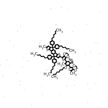 CCCCCCCCOc1c(C)c(-c2sc(-c3cc4c(s3)-c3cc5c(cc3C4(c3ccc(CCCCCC)cc3)c3ccc(CCCCCC)cc3)-c3sc(C)cc3C5(c3ccc(CCCCCC)cc3)c3ccc(CCCCCC)cc3)c3c2OCCO3)c2nsnc2c1-c1sc(C)c2c1OCCO2